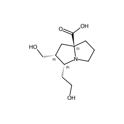 O=C(O)[C@@]12CCCN1[C@H](CCO)[C@H](CO)C2